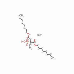 CCCCCCCCOC(=O)CC(C)(C(=O)OCCCCCCCC)S(=O)(=O)O.[NaH]